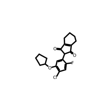 O=C1C2=C(CCCC2)C(=O)C1c1cc(OC2CCCC2)c(Cl)cc1F